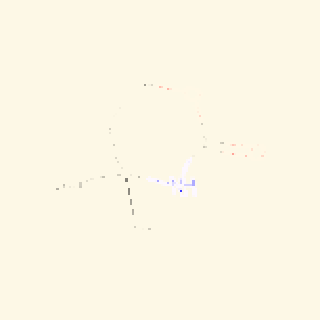 CC(C)C1(C(C)(C)C)CCOC(=O)N1